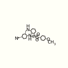 COc1ccc(S(=O)(=O)Nc2cccc3c2Nc2ccc(C#N)cc2CN3)cc1